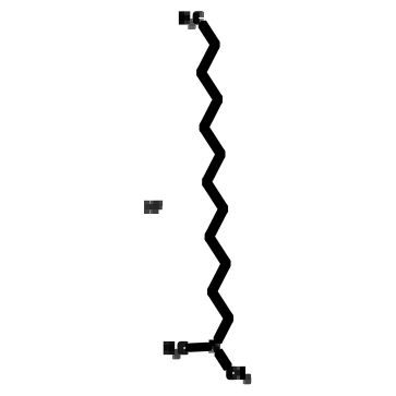 CCCCCCCCCCCCN(C)C.F